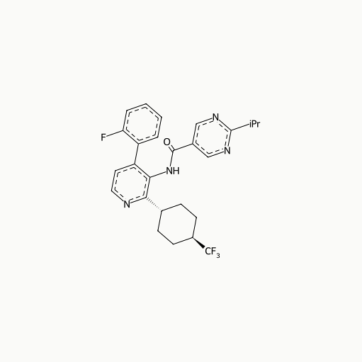 CC(C)c1ncc(C(=O)Nc2c(-c3ccccc3F)ccnc2[C@H]2CC[C@H](C(F)(F)F)CC2)cn1